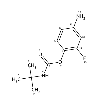 CC(C)(C)NC(=O)Oc1ccc(N)cc1F